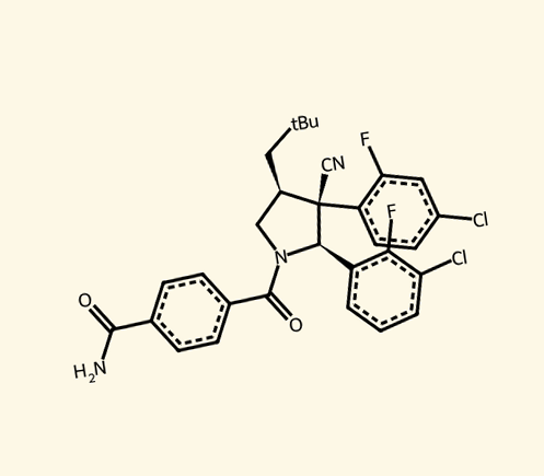 CC(C)(C)C[C@@H]1CN(C(=O)c2ccc(C(N)=O)cc2)[C@H](c2cccc(Cl)c2F)[C@@]1(C#N)c1ccc(Cl)cc1F